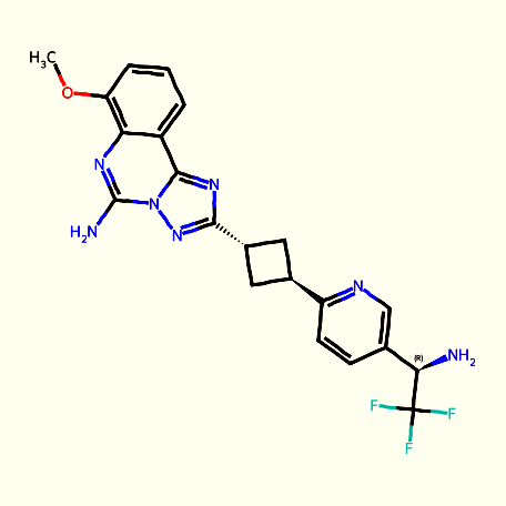 COc1cccc2c1nc(N)n1nc([C@H]3C[C@H](c4ccc([C@@H](N)C(F)(F)F)cn4)C3)nc21